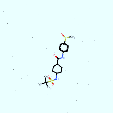 C[S+]([O-])c1ccc(NC(=O)C2CCC(NS(=O)(=O)C(C)(C)C)CC2)cc1